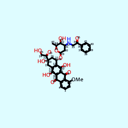 COc1cccc2c1C(=O)c1c(O)c3c(c(O)c1C2=O)C[C@@](O)(C(=O)CO)C[C@@H]3OC1CC(NCC(=O)c2ccccc2)C(O)C(C)O1